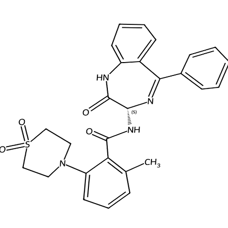 Cc1cccc(N2CCS(=O)(=O)CC2)c1C(=O)N[C@H]1N=C(c2ccccc2)c2ccccc2NC1=O